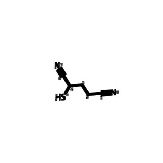 N#CCCC(S)C#N